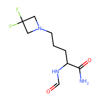 NC(=O)C(CCCN1CC(F)(F)C1)NC=O